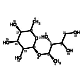 CC1O[C@@H](O[C@H](C)[C@H](O)C(O)CO)C(O)[C@@H](O)[C@H]1O